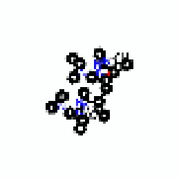 CC1(C)c2ccccc2-c2cccc(-c3nc4ccccc4nc3-n3c4cc(-n5c6ccccc6c6c7ccccc7ccc65)ccc4c4c5cc(-c6cc7c(c(-c8nc(-n9c%10cc(-n%11c%12ccccc%12c%12ccccc%12%11)ccc%10c%10c%11ccccc%11ccc%109)nc9ccccc89)c6)C(C)(C)c6ccccc6-7)ccc5ccc43)c21